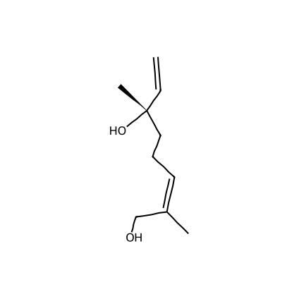 C=C[C@@](C)(O)CCC=C(C)CO